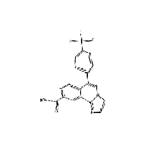 O=C(O)c1ccc2c(-c3ccc(C(F)(F)F)cc3)cn3ccnc3c2c1